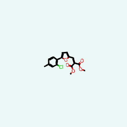 COC(=O)C(=Cc1ccc(-c2ccc(C)cc2Cl)o1)C(=O)OC